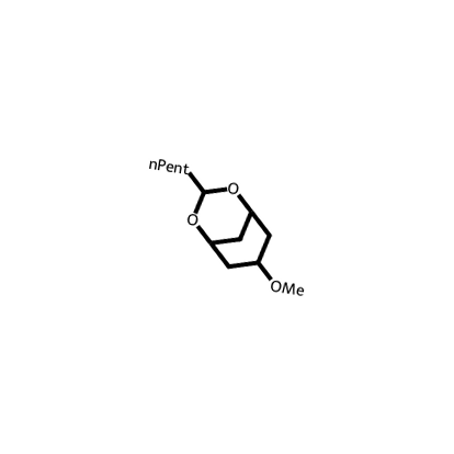 CCCCCC1OC2CC(OC)CC(C2)O1